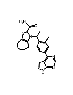 Cc1cc(-c2ncnc3[nH]ncc23)ccc1C(C)N1C2=C(CCCC2)SC1C(N)=O